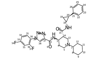 O=C(N[C@@H]1CCN(C2CCCCC2)C[C@H]1C(=O)N[C@@H]1C[C@H]1c1ccccc1)c1cn(-c2ccc(F)cc2F)nn1